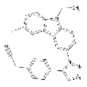 CCn1c2ccc(F)cc2c2cc(-n3nncc3-c3ccc(CC#N)cc3)ccc21